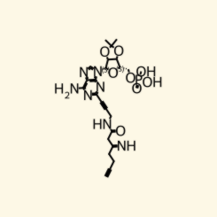 C#CCCC(=N)CC(=O)NCC#Cc1nc(N)c2ncn([C@H]3O[C@@H](COP(=O)(O)O)C4OC(C)(C)OC43)c2n1